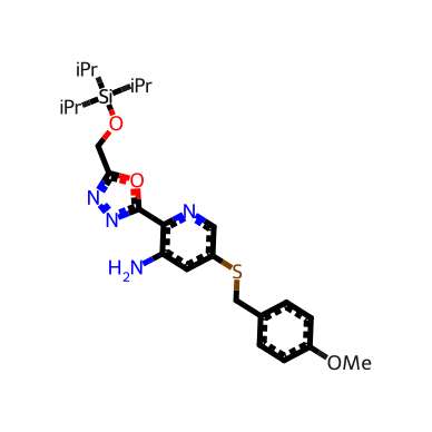 COc1ccc(CSc2cnc(-c3nnc(CO[Si](C(C)C)(C(C)C)C(C)C)o3)c(N)c2)cc1